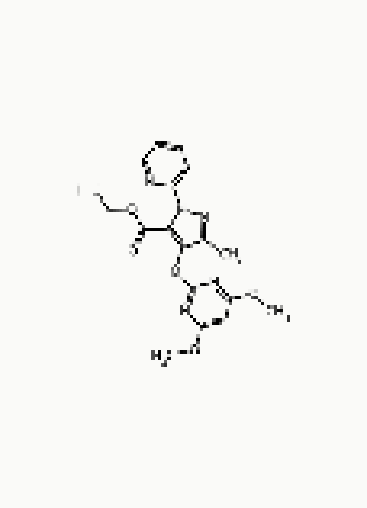 CCOC(=O)c1c(Oc2nc(OC)cc(OC)n2)c(C)nn1-c1ccccn1